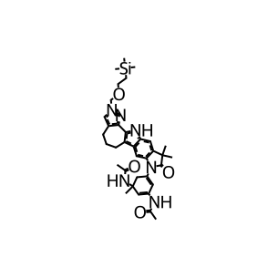 CC(=O)NC1=CC(C)(NC(C)=O)CC(N2C(=O)C(C)(C)c3cc4[nH]c5c(c4cc32)CCCc2cn(COCC[Si](C)(C)C)nc2-5)=C1